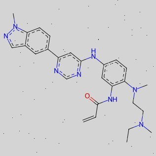 C=CC(=O)Nc1cc(Nc2cc(-c3ccc4c(cnn4C)c3)ncn2)ccc1N(C)CCN(C)CC